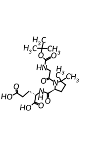 CC(C)(C)OC(=O)NCC(=O)N1[C@H](C(=O)N[C@@H](CCC(=O)O)C(=O)O)CCC1(C)C